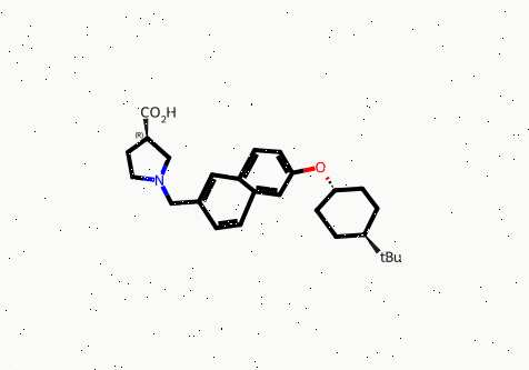 CC(C)(C)[C@H]1CC[C@H](Oc2ccc3cc(CN4CC[C@@H](C(=O)O)C4)ccc3c2)CC1